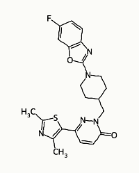 Cc1nc(C)c(-c2ccc(=O)n(CC3CCN(c4nc5ccc(F)cc5o4)CC3)n2)s1